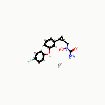 NC(=O)N(O)CC1CC1c1cccc(Oc2ccc(F)cc2)c1.[KH]